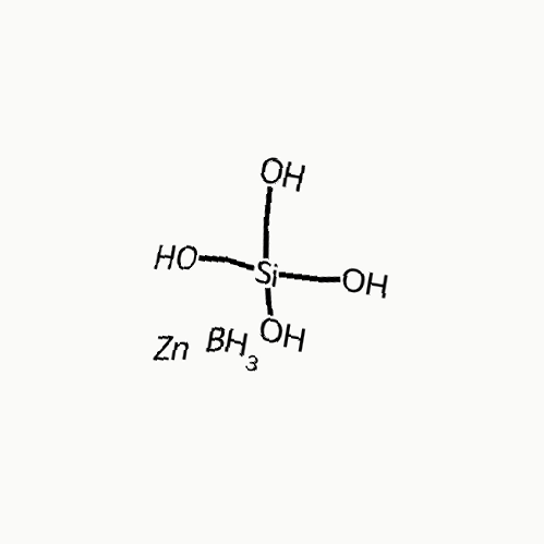 B.O[Si](O)(O)O.[Zn]